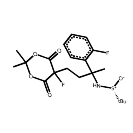 CC1(C)OC(=O)C(F)(CCC(C)(N[S@+]([O-])C(C)(C)C)c2ccccc2F)C(=O)O1